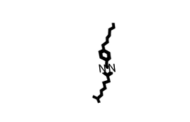 CCCCCCCc1ccc(-c2ncc(CCCCCC(C)C)cn2)cc1